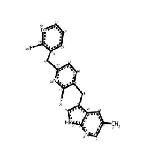 Cc1cnc2[nH]cc(Cc3ccc([CH]c4cccnc4F)nc3F)c2c1